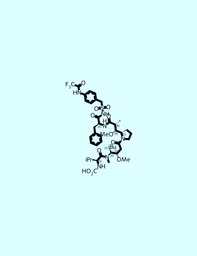 CC[C@H](C)[C@@H]([C@H](CC(=O)N1CCC[C@H]1[C@H](OC)[C@@H](C)C(=O)N[C@@H](Cc1ccccc1)C(=O)NS(=O)(=O)Cc1ccc(NC(=O)C(F)(F)F)cc1)OC)N(C)C(=O)[C@@H](NC(=O)O)C(C)C